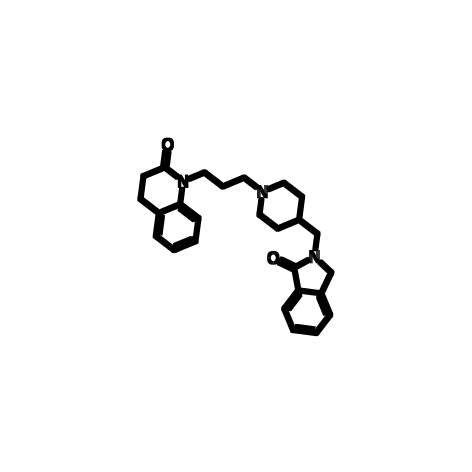 O=C1c2ccccc2CN1CC1CCN(CCCN2C(=O)CCc3ccccc32)CC1